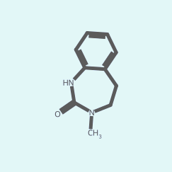 CN1CCc2ccccc2NC1=O